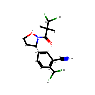 CC(C)(C(=O)N1OCC[C@H]1c1ccc(C(F)F)c(C#N)c1)C(F)F